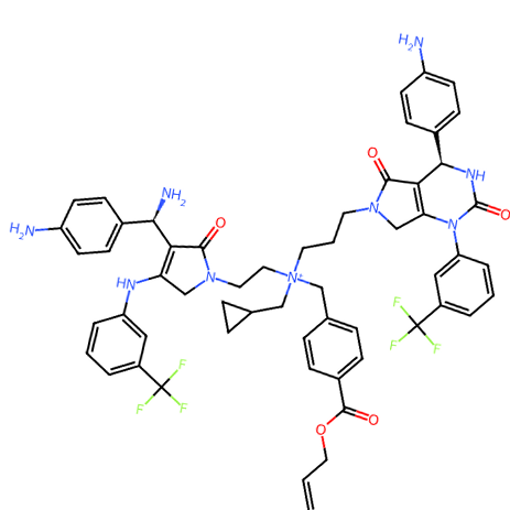 C=CCOC(=O)c1ccc(C[N+](CCCN2CC3=C(C2=O)[C@@H](c2ccc(N)cc2)NC(=O)N3c2cccc(C(F)(F)F)c2)(CCN2CC(Nc3cccc(C(F)(F)F)c3)=C([C@H](N)c3ccc(N)cc3)C2=O)CC2CC2)cc1